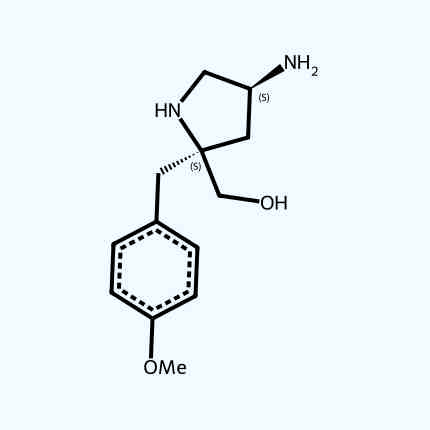 COc1ccc(C[C@@]2(CO)C[C@H](N)CN2)cc1